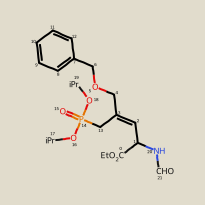 CCOC(=O)C(C=C(COCc1ccccc1)CP(=O)(OC(C)C)OC(C)C)NC=O